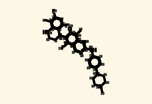 Cc1c(F)cc(F)c2c1NCCN2c1c(F)c2cnc(Nc3ccc(N4CCN(C)CC4)cc3)nc2n(C)c1=O